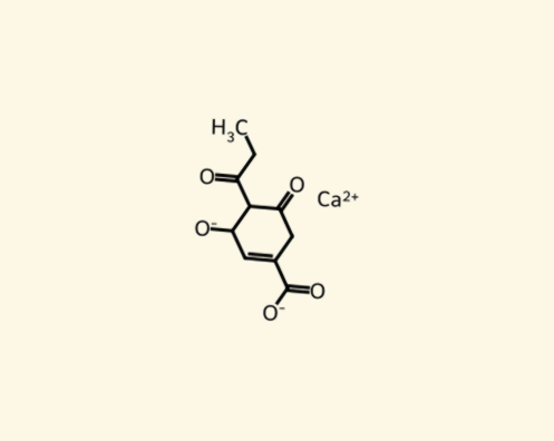 CCC(=O)C1C(=O)CC(C(=O)[O-])=CC1[O-].[Ca+2]